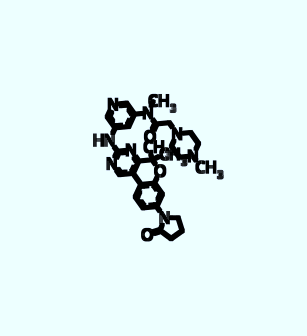 CN1CCN(CC(=O)N(C)c2cncc(Nc3ncc4c(n3)C(C)(C)Oc3cc(N5CCCC5=O)ccc3-4)c2)CC1